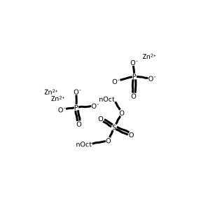 CCCCCCCCOS(=O)(=O)OCCCCCCCC.O=P([O-])([O-])[O-].O=P([O-])([O-])[O-].[Zn+2].[Zn+2].[Zn+2]